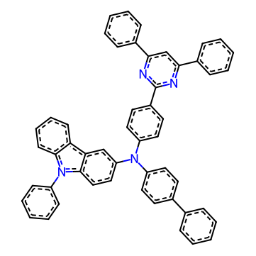 c1ccc(-c2ccc(N(c3ccc(-c4nc(-c5ccccc5)cc(-c5ccccc5)n4)cc3)c3ccc4c(c3)c3ccccc3n4-c3ccccc3)cc2)cc1